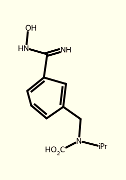 CC(C)N(Cc1cccc(C(=N)NO)c1)C(=O)O